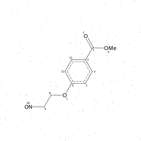 COC(=O)c1ccc(OCCN=O)cc1